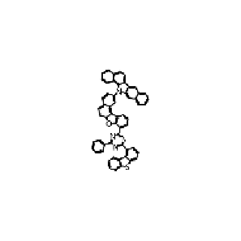 C1=c2ccc(-n3c4cc5ccccc5cc4c4ccc5ccccc5c43)cc2=C2c3cccc(-c4nc(-c5ccccc5)nc(-c5cccc6sc7ccccc7c56)n4)c3OC2C1